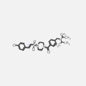 CC(C)N(Cc1ccc(C(=O)N2CCN(S(=O)(=O)/C=C/c3ccc(Cl)cc3)CC2)cc1)C(C)C